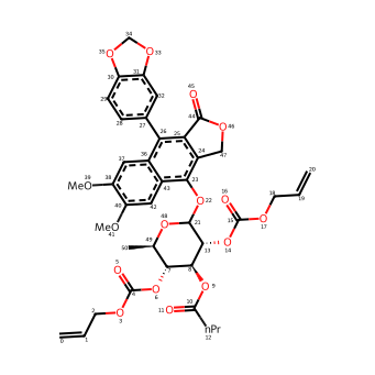 C=CCOC(=O)O[C@H]1[C@H](OC(=O)CCC)[C@@H](OC(=O)OCC=C)C(Oc2c3c(c(-c4ccc5c(c4)OCO5)c4cc(OC)c(OC)cc24)C(=O)OC3)O[C@@H]1C